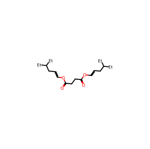 CCC(CC)CC=COC(=O)CCC(=O)OC=CCC(CC)CC